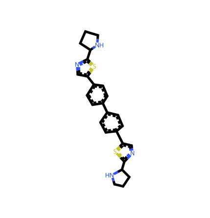 c1cc(-c2cnc(C3CCCN3)s2)ccc1-c1ccc(-c2cnc(C3CCCN3)s2)cc1